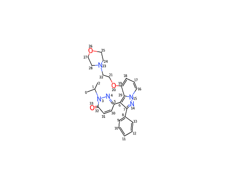 CC(C)n1nc(-c2c(-c3ccccc3)nn3cccc(OCCN4CCOCC4)c23)ccc1=O